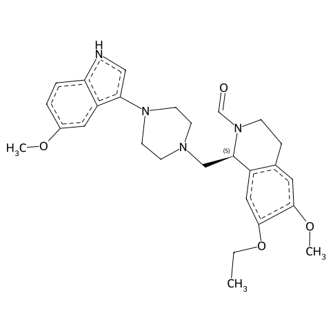 CCOc1cc2c(cc1OC)CCN(C=O)[C@@H]2CN1CCN(c2c[nH]c3ccc(OC)cc23)CC1